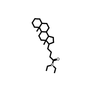 CCN(CC)C(=O)CCCC1CCC2C3CCC4CCCCC4(C)C3CCC12C